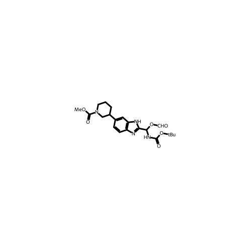 COC(=O)N1CCCC(c2ccc3nc(C(NC(=O)OC(C)(C)C)OC=O)[nH]c3c2)C1